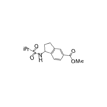 COC(=O)c1ccc2c(c1)CCC2NS(=O)(=O)C(C)C